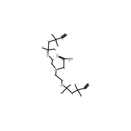 C#CC(C)(C)CC(C)(C)OCCN(CCOC(C)(C)CC(C)(C)C#C)CC(=O)O